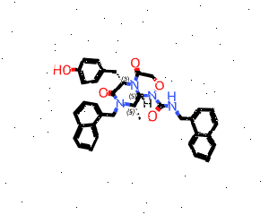 C[C@H]1[C@@H]2N(C(=O)NCc3cccc4ccccc34)OCC(=O)N2[C@@H](Cc2ccc(O)cc2)C(=O)N1Cc1cccc2ccccc12